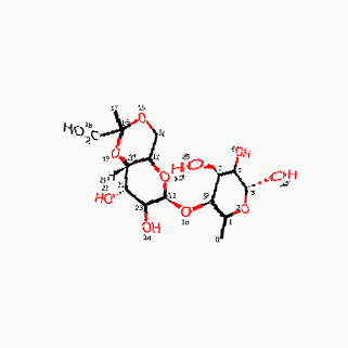 CC1O[C@@H](O)C(O)[C@H](O)[C@@H]1O[C@@H]1OC2COC(C)(C(=O)O)O[C@H]2[C@@H](O)C1O